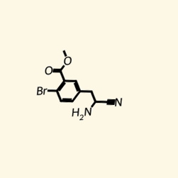 COC(=O)c1cc(CC(N)C#N)ccc1Br